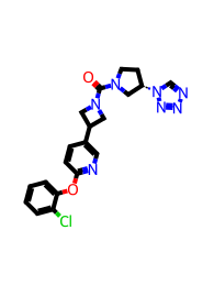 O=C(N1CC(c2ccc(Oc3ccccc3Cl)nc2)C1)N1CC[C@H](n2cnnn2)C1